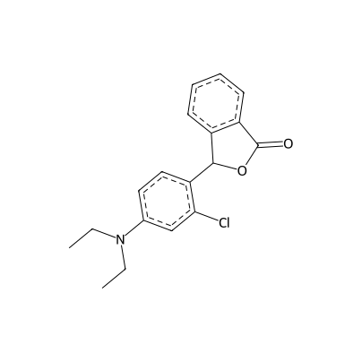 CCN(CC)c1ccc(C2OC(=O)c3ccccc32)c(Cl)c1